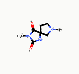 CC(C)N1CCC2(C1)NC(=O)N(C)C2=O